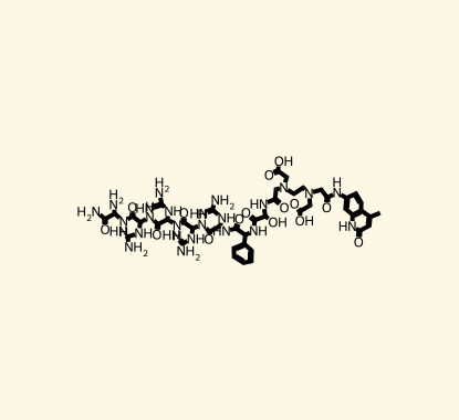 Cc1cc(=O)[nH]c2cc(NC(=O)CN(CCN(CC(=O)O)CC(=O)NC(O)C(=O)NC(C(=O)NC(NC(=N)N)C(=O)NC(NC(=N)N)C(=O)NC(NC(=N)N)C(=O)NC(NC(=N)N)C(=O)NC(N)C(N)=O)c3ccccc3)CC(=O)O)ccc12